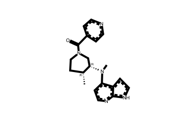 C[C@@H]1CCN(C(=O)c2ccncc2)C[C@@H]1N(C)c1ccnc2[nH]ccc12